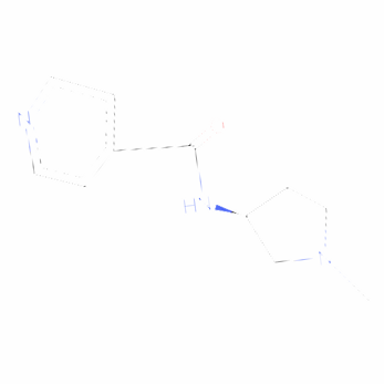 CN1CC[C@H](NC(=O)c2ccncc2)C1